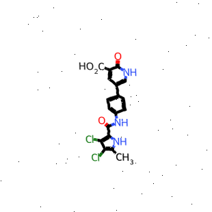 Cc1[nH]c(C(=O)Nc2ccc(-c3c[nH]c(=O)c(C(=O)O)c3)cc2)c(Cl)c1Cl